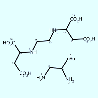 CCCCC(N)CN.O=C(O)CC(NCCNC(CC(=O)O)C(=O)O)C(=O)O